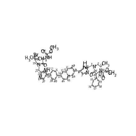 CCCN(Cc1ncc(-c2ccc3cc(-c4ccc(-c5cnc(CN(CC(C)(C)Br)C(=O)CNC(=O)OC)[nH]5)cc4)ccc3c2)[nH]1)C(=O)C(NC(=O)OC)c1ccccc1